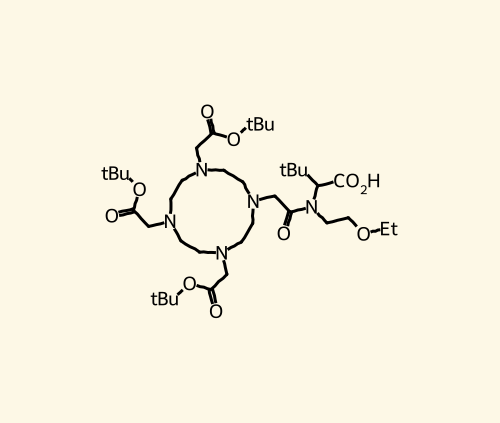 CCOCCN(C(=O)CN1CCN(CC(=O)OC(C)(C)C)CCN(CC(=O)OC(C)(C)C)CCN(CC(=O)OC(C)(C)C)CC1)C(C(=O)O)C(C)(C)C